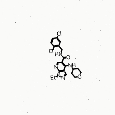 CCn1ncc2c(NC3CCOCC3)c(C(=O)NCc3cc(Cl)ccc3Cl)cnc21